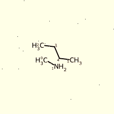 CN.C[CH]CC